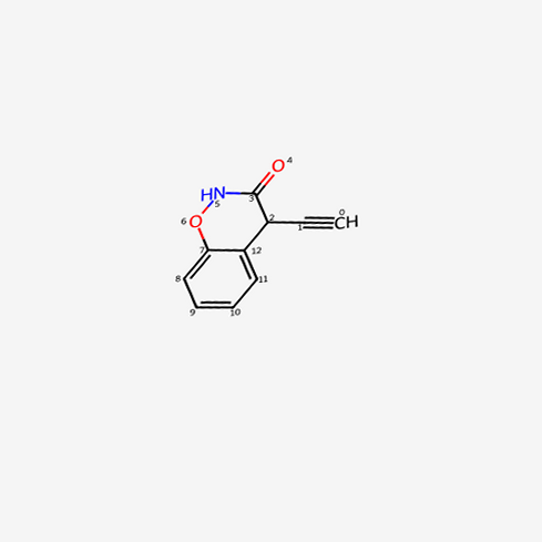 C#CC1C(=O)NOc2ccccc21